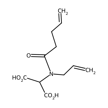 C=CCCC(=O)N(CC=C)C(C(=O)O)C(=O)O